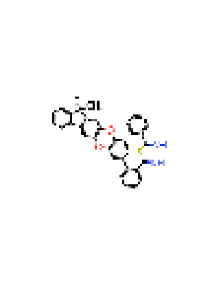 CC1(C)c2ccccc2-c2cc3c(cc21)Oc1ccc(-c2ccccc2C(=N)SC(=N)c2ccccc2)cc1O3